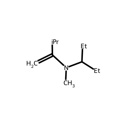 C=C(C(C)C)N(C)C(CC)CC